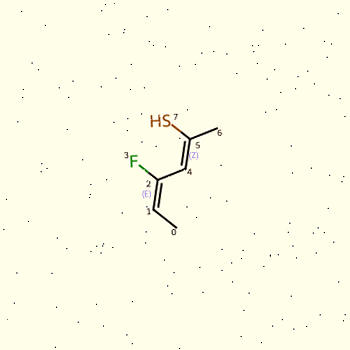 C/C=C(F)\C=C(\C)S